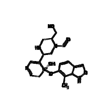 CC1=C(O[N@@+]2(O)CC=NC=C2C2CN(C=O)C(CO)CN2)C=CC2=COBC21